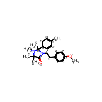 COc1ccc(CCN2C(=O)C(C)(C)N(C)C2(C)C2C=CC(C)=CC2)cc1